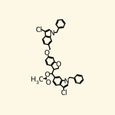 CC(=O)OC(c1ccc2c(Cl)cn(Cc3ccccc3)c2c1)C1COc2cc(OCc3ccc4c(Cl)cn(Cc5ccccc5)c4c3)ccc21